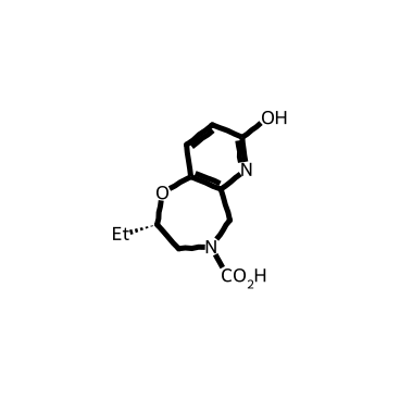 CC[C@H]1CN(C(=O)O)Cc2nc(O)ccc2O1